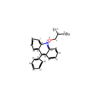 CCCCC(CC)CO[n+]1c2ccccc2c(-c2ccccc2)c2ccccc21